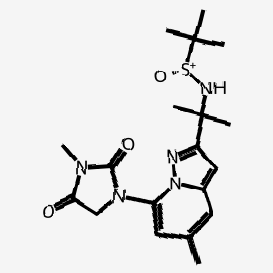 Cc1cc(N2CC(=O)N(C)C2=O)n2nc(C(C)(C)N[S@+]([O-])C(C)(C)C)cc2c1